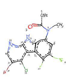 COC(=O)N(C)c1cc(F)c(F)c2c1[nH]c1ncc(Br)c(Cl)c12